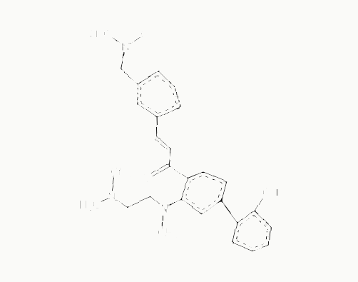 Cc1ccccc1-c1ccc(C(=O)C=Cc2cccc(CN(C)C)c2)c(N(C)CCN(C)C)c1